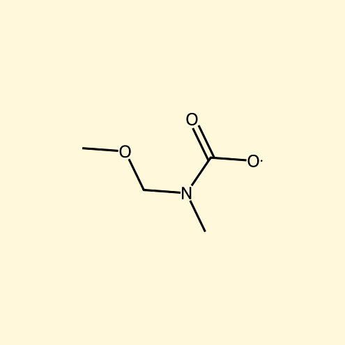 COCN(C)C([O])=O